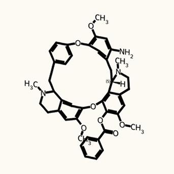 COc1cc(N)c2cc1Oc1ccc(cc1)CC1c3cc(c(OC)cc3CCN1C)Oc1c(OC(=O)c3ccccc3)c(OC)cc3c1[C@H](C2)N(C)CC3